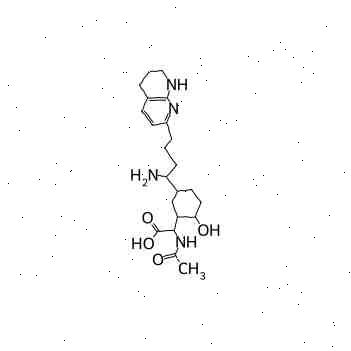 CC(=O)NC(C(=O)O)C1CC(C(N)CCCc2ccc3c(n2)NCCC3)CCC1O